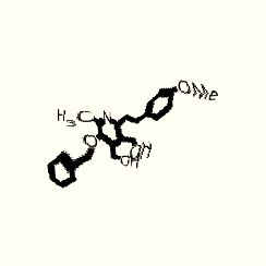 COc1ccc(CCc2nc(C)c(OCc3ccccc3)c(CO)c2CO)cc1